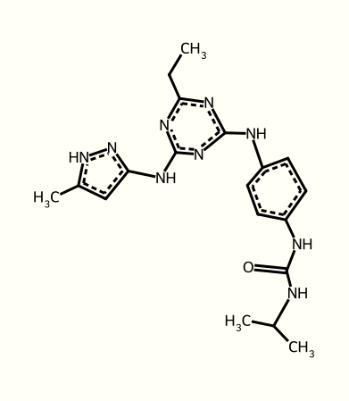 CCc1nc(Nc2ccc(NC(=O)NC(C)C)cc2)nc(Nc2cc(C)[nH]n2)n1